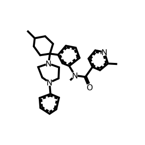 Cc1cc(C(=O)N(C)c2cccc(C3(N4CCN(c5ccccc5)CC4)CCC(C)CC3)c2)ccn1